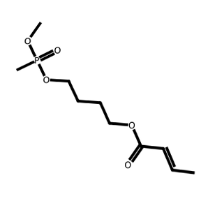 CC=CC(=O)OCCCCOP(C)(=O)OC